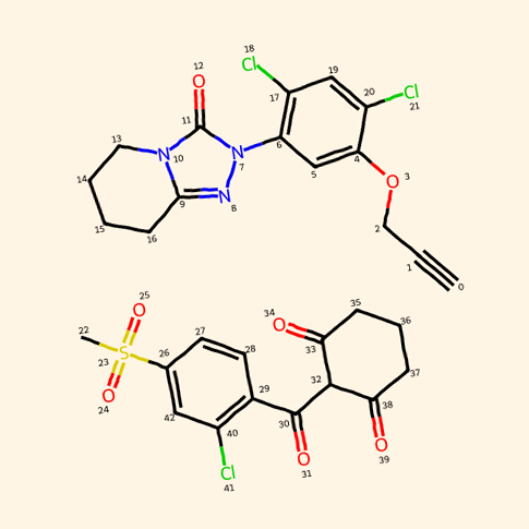 C#CCOc1cc(-n2nc3n(c2=O)CCCC3)c(Cl)cc1Cl.CS(=O)(=O)c1ccc(C(=O)C2C(=O)CCCC2=O)c(Cl)c1